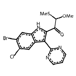 COC(SC)C(=O)c1[nH]c2cc(Br)c(Cl)cc2c1-c1ncccn1